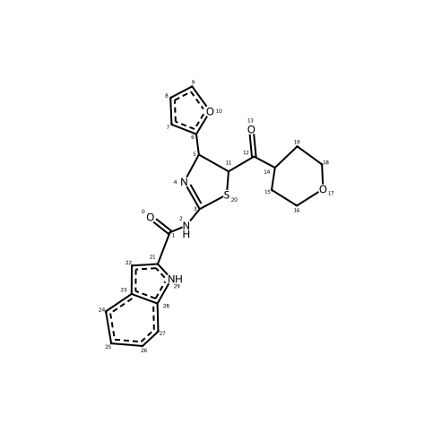 O=C(NC1=NC(c2ccco2)C(C(=O)C2CCOCC2)S1)c1cc2ccccc2[nH]1